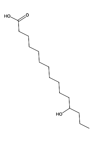 CCCC(O)CCCCCCCCCCC(=O)O